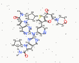 CN(C)C(=O)c1cc2cnc(N(c3cncc(-c4csc5c(=O)cc(N6CCOCC6)oc45)c3)c3ncc4cc(C(=O)N(C)C)n(C5CCCC5)c4n3)nc2n1C1CCCC1